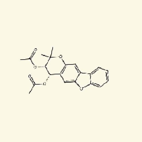 CC(=O)O[C@H]1c2cc3oc4ccccc4c3cc2OC(C)(C)[C@H]1OC(C)=O